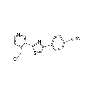 N#Cc1ccc(-c2csc(-c3cnccc3CCl)n2)cc1